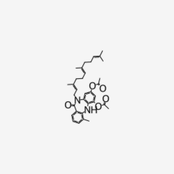 CC(=O)Oc1cc(OC(C)=O)c2c(c1)N(C/C=C(\C)CC/C=C(\C)CCC=C(C)C)C(=O)c1cccc(C)c1N2